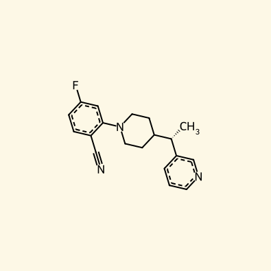 C[C@H](c1cccnc1)C1CCN(c2cc(F)ccc2C#N)CC1